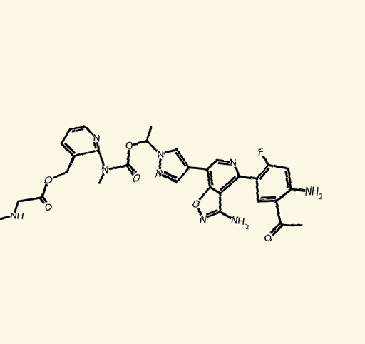 CNCC(=O)OCc1cccnc1N(C)C(=O)OC(C)n1cc(-c2cnc(-c3cc(C(C)=O)c(N)cc3F)c3c(N)noc23)cn1